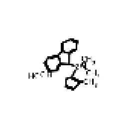 CC1=[C]([Zr]([CH]2c3ccccc3-c3ccccc32)=[Si](C)C)CC=C1.Cl.Cl